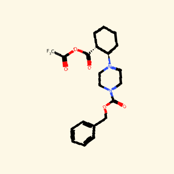 O=C(OC(=O)C(F)(F)F)[C@@H]1CCCC[C@H]1N1CCN(C(=O)OCc2ccccc2)CC1